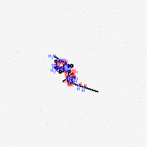 CCCCCCCCCCCC(=O)NCCC(=O)NCCCC[C@H](NC(=O)[C@H](CO)NC(C)=O)C(=O)N[C@@H](CO)C(=O)N[C@@H](CCCC)C(=O)N[C@@H](CCC(=O)O)C(=O)C1CC(O)C[C@H]1C(=O)NC(Cc1ccccc1)C(=O)N[C@@H](CCCNC(=N)N)C(=O)N[C@@H](Cc1c[nH]c2ccccc12)C(=O)NCC(=O)N[C@@H](CCCCN)C(=O)N1CCCC1C(=O)N[C@H](C(N)=O)C(C)C